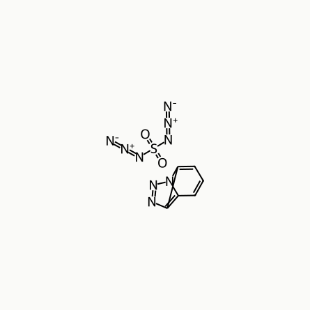 [N-]=[N+]=NS(=O)(=O)N=[N+]=[N-].c1cc2c3nnn2c3c1